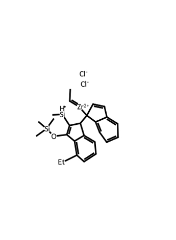 C[CH]=[Zr+2][C]1(C2C([SiH](C)C)=C(O[Si](C)(C)C)c3c(CC)cccc32)C=Cc2ccccc21.[Cl-].[Cl-]